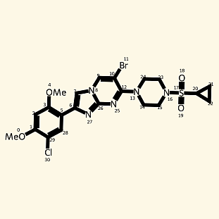 COc1cc(OC)c(-c2cn3cc(Br)c(N4CCN(S(=O)(=O)C5CC5)CC4)nc3n2)cc1Cl